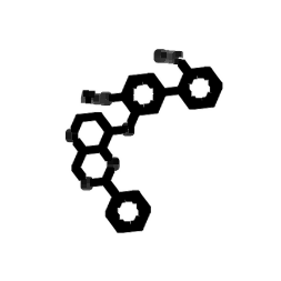 COc1ccc(-c2ccccc2C=O)cc1OC1CCOC2COC(c3ccccc3)OC21